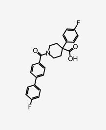 O=C(c1ccc(-c2ccc(F)cc2)cc1)N1CCC(C(=O)O)(c2ccc(F)cc2)CC1